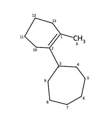 CC1=C([C]2CCCCCC2)CCCC1